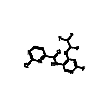 O=C(Nc1cnc(F)cc1OC(F)C(F)F)c1ccnc(Cl)n1